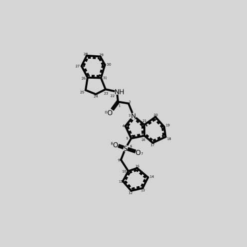 O=C(Cn1cc(S(=O)(=O)Cc2ccccc2)c2ccccc21)NC1CCc2ccccc21